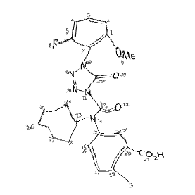 COc1cccc(F)c1-n1nnn(C(=O)N(c2ccc(C)c(C(=O)O)c2)C2CCCCC2)c1=O